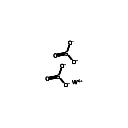 O=S([O-])[O-].O=S([O-])[O-].[W+4]